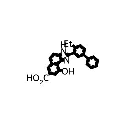 CCc1ccc(-c2ccccc2)cc1-c1nc2c(ccc3cc(C(=O)O)cc(O)c32)[nH]1